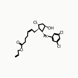 C=CCOC(=O)CCC/C=C\C[C@@H]1[C@@H]([CH2][Ac][c]2cc(Cl)cc(Cl)c2)[C@H](O)C[C@H]1Cl